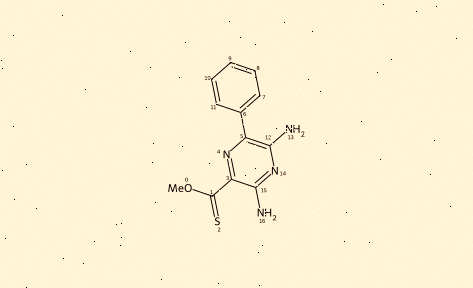 COC(=S)c1nc(-c2ccccc2)c(N)nc1N